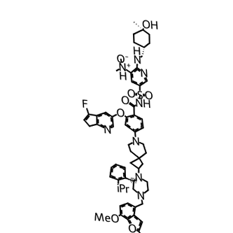 COc1ccc(CN2CCN(C3CC4(CCN(c5ccc(C(=O)NS(=O)(=O)c6cnc(NC[C@H]7CC[C@](C)(O)CC7)c([NH+](C)[O-])c6)c(Oc6cnc7c(c6)C(F)=CC7)c5)CC4)C3)[C@H](c3ccccc3C(C)C)C2)c2cc(C)oc12